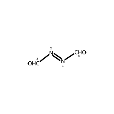 O=[C]N=N[C]=O